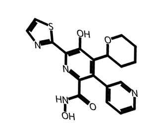 O=C(NO)c1nc(-c2nccs2)c(O)c(C2CCCCO2)c1-c1cccnc1